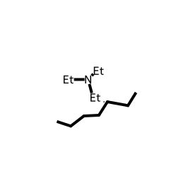 CCN(CC)CC.CC[CH]CCCC